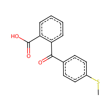 CSc1ccc(C(=O)c2ccccc2C(=O)O)cc1